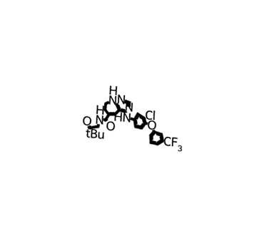 CC(C)(C)C(=O)CNC(=O)C1=Cc2c(ncnc2Nc2ccc(Oc3cccc(C(F)(F)F)c3)c(Cl)c2)NCC1